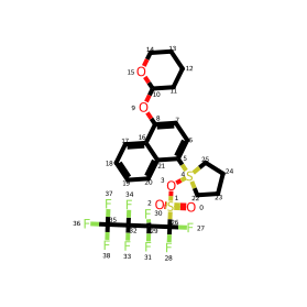 O=S(=O)(OS1(c2ccc(OC3CCCCO3)c3ccccc23)CCCC1)C(F)(F)C(F)(F)C(F)(F)C(F)(F)F